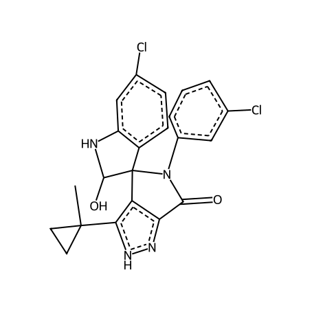 CC1(c2[nH]nc3c2C2(c4ccc(Cl)cc4NC2O)N(c2cccc(Cl)c2)C3=O)CC1